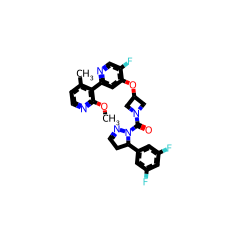 COc1nccc(C)c1-c1cc(OC2CN(C(=O)N3N=CCC3c3cc(F)cc(F)c3)C2)c(F)cn1